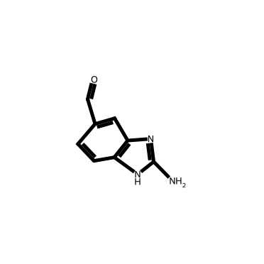 Nc1nc2cc(C=O)ccc2[nH]1